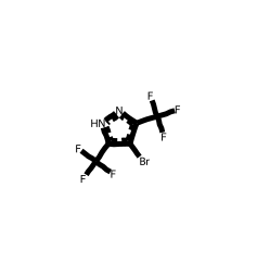 FC(F)(F)c1n[nH]c(C(F)(F)F)c1Br